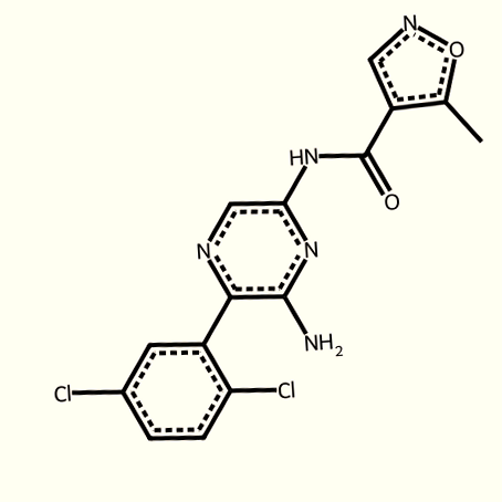 Cc1oncc1C(=O)Nc1cnc(-c2cc(Cl)ccc2Cl)c(N)n1